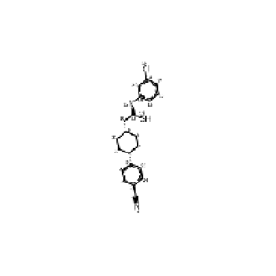 N#Cc1ccc([C@H]2CC[C@@H](CC(S)=Nc3cccc(Cl)c3)CC2)cc1